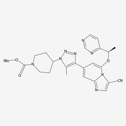 Cc1c(-c2cc(O[C@H](C)c3ccncn3)n3c(C#N)cnc3c2)nnn1C1CCN(C(=O)OC(C)(C)C)CC1